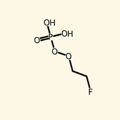 O=P(O)(O)OOCCF